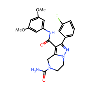 COc1cc(NC(=O)c2c(-c3cccc(F)c3)nn3c2CN(C(N)=O)CC3)cc(OC)c1